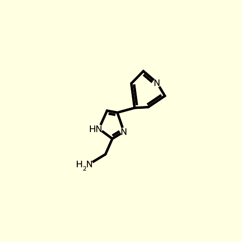 NCc1nc(-c2ccncc2)c[nH]1